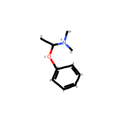 CC(Oc1[c]cccc1)N(C)C